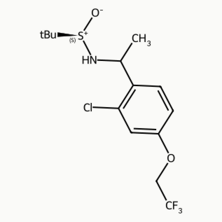 CC(N[S@+]([O-])C(C)(C)C)c1ccc(OCC(F)(F)F)cc1Cl